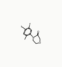 Cc1cc(I)c(F)cc1N1CCOCC1=O